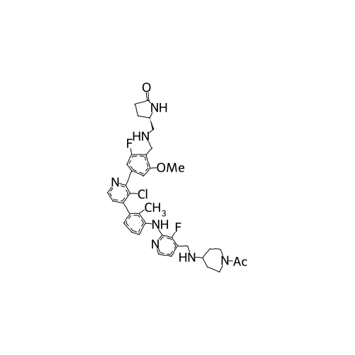 COc1cc(-c2nccc(-c3cccc(Nc4nccc(CNC5CCN(C(C)=O)CC5)c4F)c3C)c2Cl)cc(F)c1CNC[C@H]1CCC(=O)N1